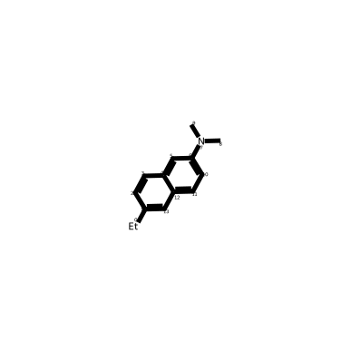 CCc1ccc2cc(N(C)C)ccc2c1